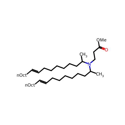 CCCCCCCCC=CCCCCCCC(C)N(CCC(=O)OC)C(C)CCCCCCC=CCCCCCCCC